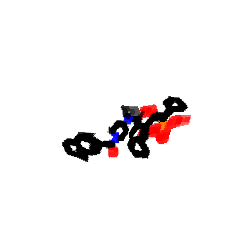 CN(C(=O)c1cc2ccccc2cc1C(=O)C(c1ccccc1)P(=O)(O)O)C1CCN(C(=O)c2ccc3ccccc3c2)CC1